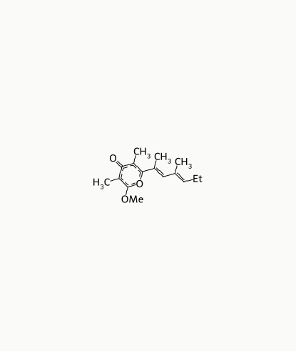 CC/C=C(C)/C=C(\C)c1oc(OC)c(C)c(=O)c1C